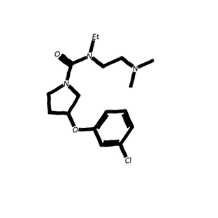 CCN(CCN(C)C)C(=O)N1CCC(Oc2cccc(Cl)c2)C1